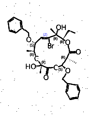 CC[C@H]1OC(=O)[C@H](C)[C@@H](OCc2ccccc2)CC(=O)[C@](C)(O)C[C@@H](C)[C@H](OCc2ccccc2)/C=C(\Br)[C@]1(C)O